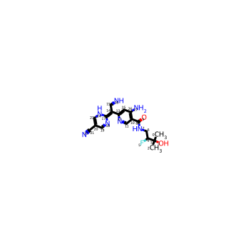 CC(C)(O)C(F)CNC(=O)c1cnc(/C(C=N)=C2\N=CC(C#N)=CN2)cc1N